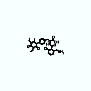 CCn1c(C)c(-c2ccc(C[C@H](NC(=O)c3c(Cl)cccc3CN)C(=O)O)cc2)c(=O)n(CC)c1=O